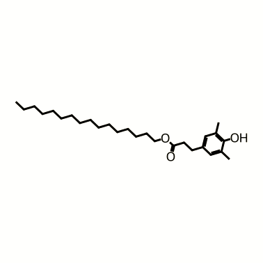 CCCCCCCCCCCCCCCCOC(=O)CCc1cc(C)c(O)c(C)c1